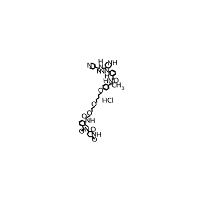 C[C@H](NC(=O)c1cccc(NC2(c3nnc(-c4ccncc4)[nH]3)CCNCC2)c1)c1ccc(OCCCCCOCCCOCC(=O)Nc2cccc3c2CN(C2CCC(=O)NC2=O)C3=O)cc1.Cl